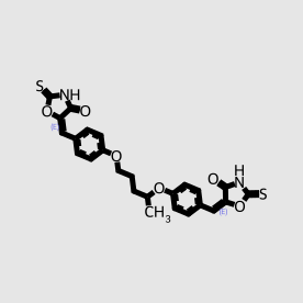 CC(CCCOc1ccc(/C=C2/OC(=S)NC2=O)cc1)Oc1ccc(/C=C2/OC(=S)NC2=O)cc1